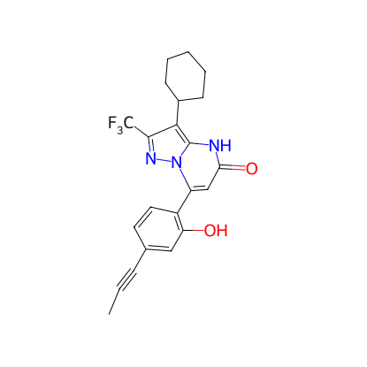 CC#Cc1ccc(-c2cc(=O)[nH]c3c(C4CCCCC4)c(C(F)(F)F)nn23)c(O)c1